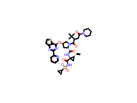 C=C[C@@H]1C[C@]1(NC(=O)[C@@H]1C[C@@H](Oc2nc(-c3ccccn3)nc3ccsc23)CN1C(=O)C(CC(=O)N1CCCCC1)C(C)(C)C)C(=O)NS(=O)(=O)C1CC1